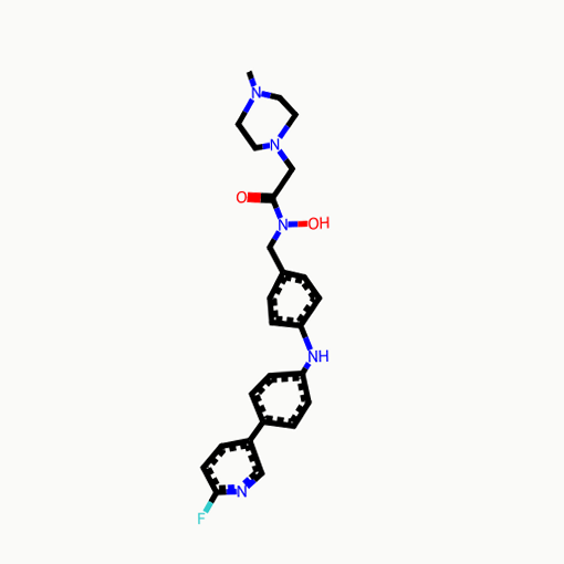 CN1CCN(CC(=O)N(O)Cc2ccc(Nc3ccc(-c4ccc(F)nc4)cc3)cc2)CC1